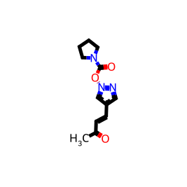 CC(=O)C=Cc1cnn(OC(=O)N2CCCC2)c1